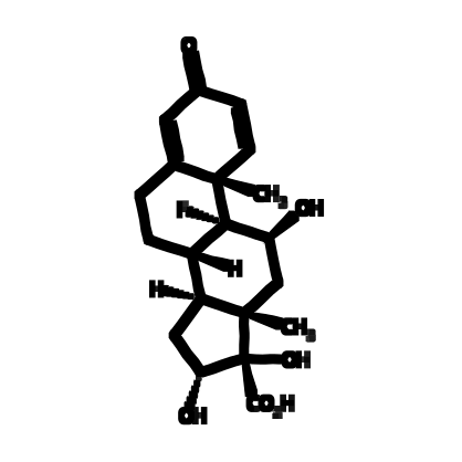 C[C@]12C=CC(=O)C=C1CC[C@H]1[C@@H]3C[C@@H](O)[C@](O)(C(=O)O)[C@@]3(C)C[C@H](O)[C@@]12F